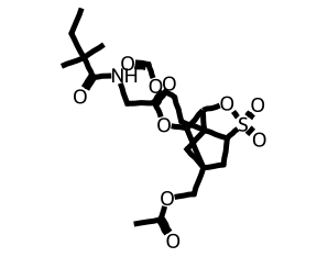 CCC(C)(C)C(=O)NCC(=O)OC1C2OS(=O)(=O)C3CC1(COC(C)=O)CC23CCOC=O